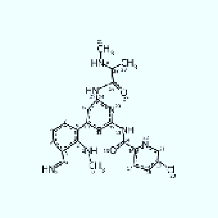 CNc1c(C=N)cccc1-c1cc(NC(=O)c2ccc(Cl)cn2)nc(NC(=O)C(C)NC)c1